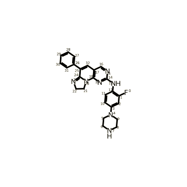 Fc1cc(N2CCNCC2)ccc1Nc1ncc2c(n1)N1CCN=C1C(c1ccccc1)=C2